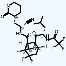 CC(C)C[C@H](NC(=O)C(F)(F)F)C(=O)N1[C@@H]2CC[C@H]([C@H]1C(=O)N[C@@H](C#N)C[C@H]1CCCNC1=O)C(F)(F)C2